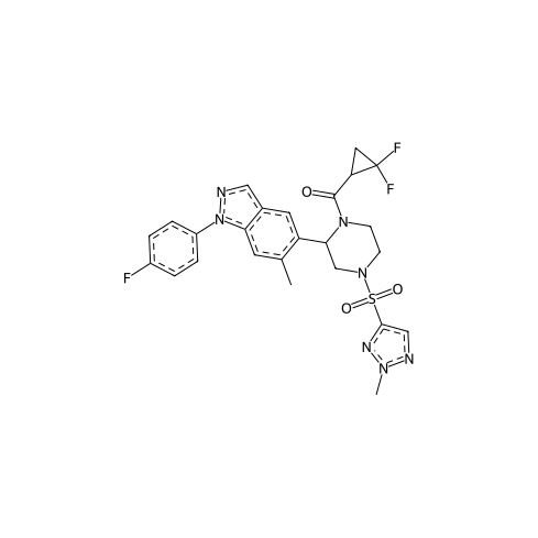 Cc1cc2c(cnn2-c2ccc(F)cc2)cc1C1CN(S(=O)(=O)c2cnn(C)n2)CCN1C(=O)C1CC1(F)F